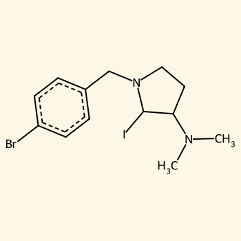 CN(C)C1CCN(Cc2ccc(Br)cc2)C1I